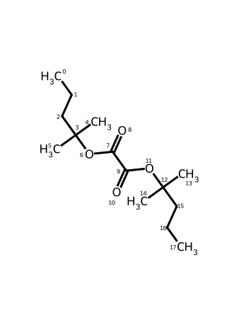 CCCC(C)(C)OC(=O)C(=O)OC(C)(C)CCC